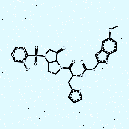 COc1ccc2oc(OC(=O)NC(Cc3cccs3)C(=O)N3CCC4C3C(=O)CN4S(=O)(=O)c3cccc[n+]3[O-])cc2c1